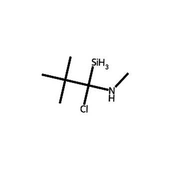 CNC([SiH3])(Cl)C(C)(C)C